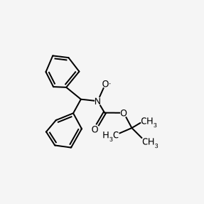 CC(C)(C)OC(=O)N([O])C(c1ccccc1)c1ccccc1